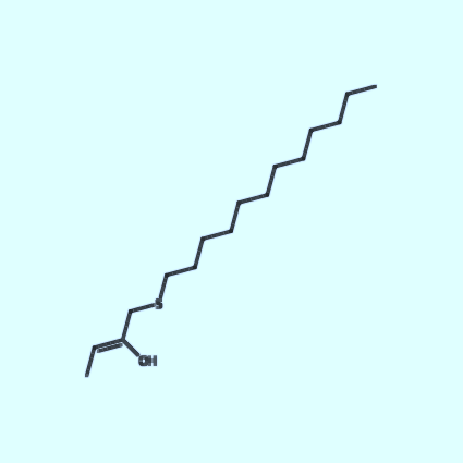 CC=C(O)CSCCCCCCCCCCCC